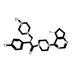 CCN1CCN(C[C@@H](C(=O)N2CCN(c3ncnc4c3[C@H](C)CC4)CC2)c2ccc(Cl)cc2)CC1